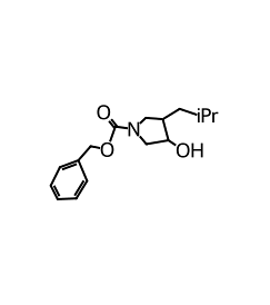 CC(C)CC1CN(C(=O)OCc2ccccc2)CC1O